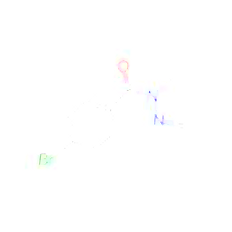 C=NN(C)C(=O)c1ccc(Br)cc1